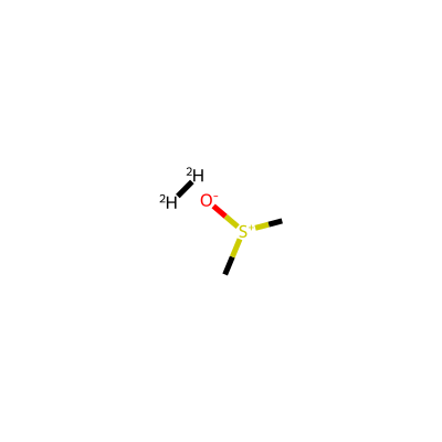 C[S+](C)[O-].[2H][2H]